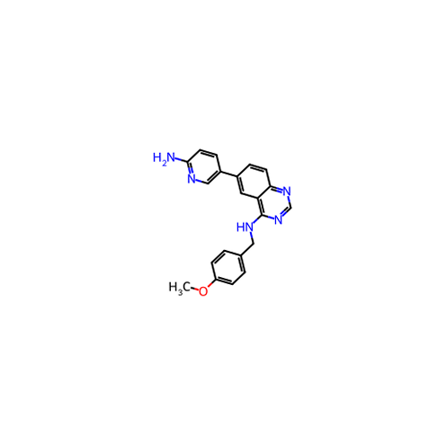 COc1ccc(CNc2ncnc3ccc(-c4ccc(N)nc4)cc23)cc1